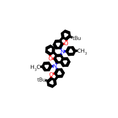 Cc1ccc(N(c2cccc3c2oc2c(C(C)(C)C)cccc23)c2c3ccccc3c(N(c3ccc(C)cc3)c3cccc4c3oc3c(C(C)(C)C)cccc34)c3c2oc2ccccc23)cc1